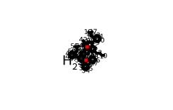 CCCCC1=Cc2c(-c3ccccc3CC(C)C)cccc2[CH]1[Zr]([c]1cccc2c1[SiH2]c1ccccc1-2)[CH]1C(CCCC)=Cc2c(-c3ccccc3CC(C)C)cccc21